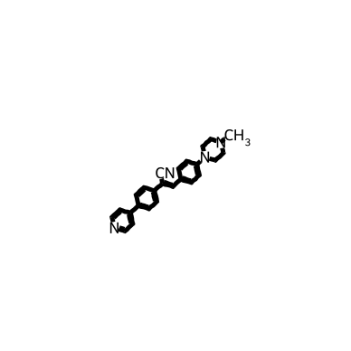 CN1CCN(c2ccc(/C=C(\C#N)c3ccc(-c4ccncc4)cc3)cc2)CC1